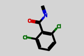 C=NC(=O)c1c(Cl)cccc1Cl